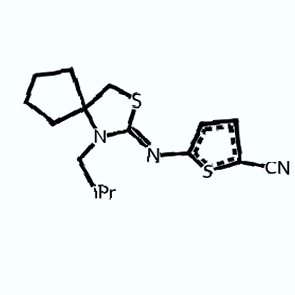 CC(C)CN1C(=Nc2ccc(C#N)s2)SCC12CCCC2